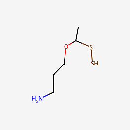 CC(OCCCN)SS